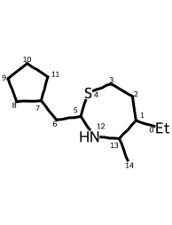 CCC1CCSC(CC2CCCC2)NC1C